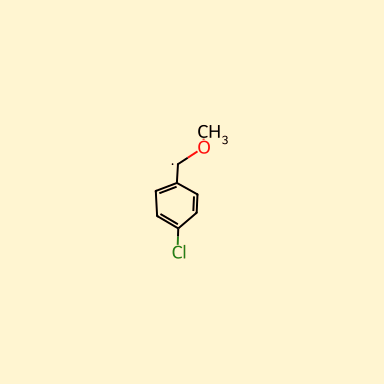 CO[CH]c1ccc(Cl)cc1